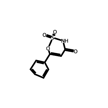 O=C1C=C(c2ccccc2)OS(=O)(=O)N1